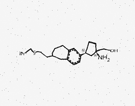 CC(C)CSCCC1CCc2cc([C@H]3CC[C@](N)(CO)C3)ccc2C1